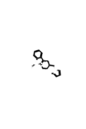 [2H]C([2H])([2H])n1c2c(c3ccccc31)C(=O)C(Cn1cccc1C)CC2